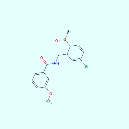 CC[S+]([O-])C1C=CC(Br)=CC1CNC(=O)c1cccc(OC(F)(F)F)c1